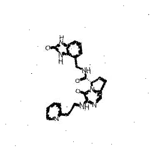 O=C(NCc1cccc2[nH]c(=O)[nH]c12)[C@@H]1CCc2cnc(NCCc3ccccn3)c(=O)n21